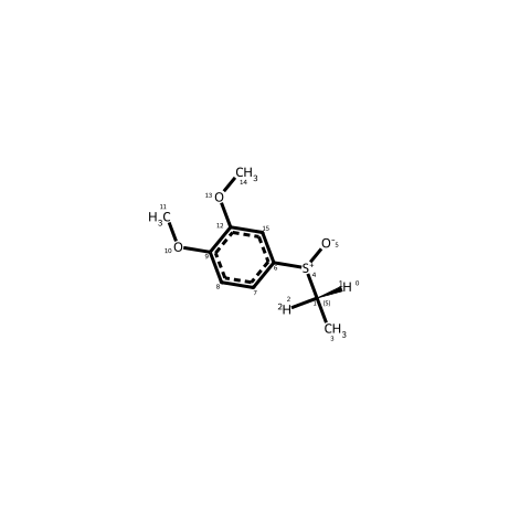 [1H][C@]([2H])(C)[S+]([O-])c1ccc(OC)c(OC)c1